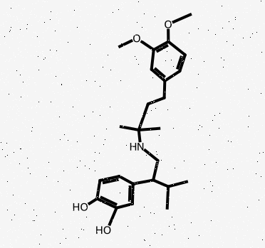 COc1ccc(CCC(C)(C)NCC(c2ccc(O)c(O)c2)C(C)C)cc1OC